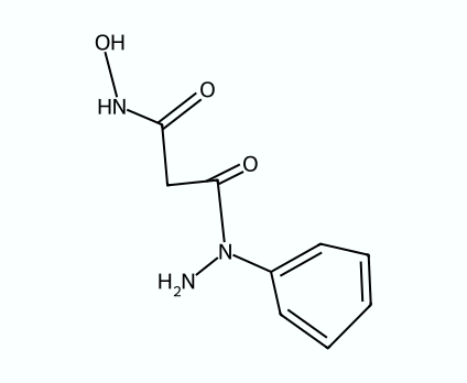 NN(C(=O)CC(=O)NO)c1ccccc1